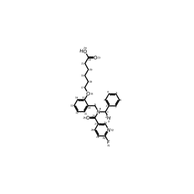 [2H]C(c1ccccc1)N(Cc1ccccc1OCCCCCC(=O)O)C(=O)c1ccc(F)nc1